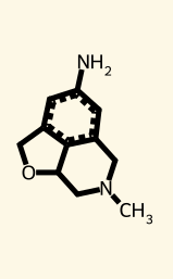 CN1Cc2cc(N)cc3c2C(C1)OC3